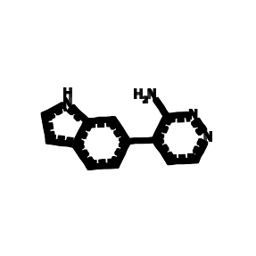 Nc1nnccc1-c1ccc2cc[nH]c2c1